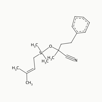 CC(C)=CC[Si](C)(C)OC(C)(C#N)CCc1ccccc1